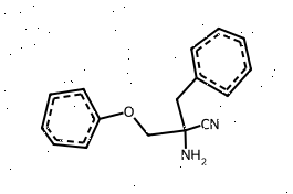 N#CC(N)(COc1ccccc1)Cc1ccccc1